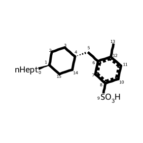 CCCCCCC[C@H]1CC[C@H](Cc2cc(S(=O)(=O)O)ccc2C)CC1